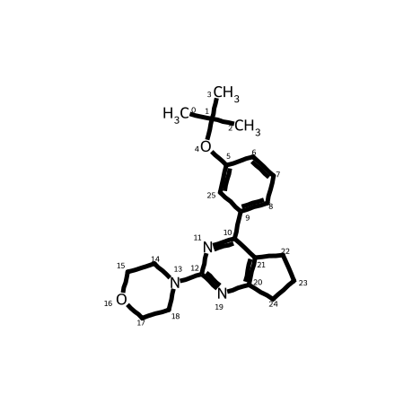 CC(C)(C)Oc1cccc(-c2nc(N3CCOCC3)nc3c2CCC3)c1